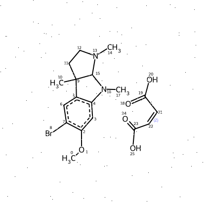 COc1cc2c(cc1Br)C1(C)CCN(C)C1N2C.O=C(O)/C=C\C(=O)O